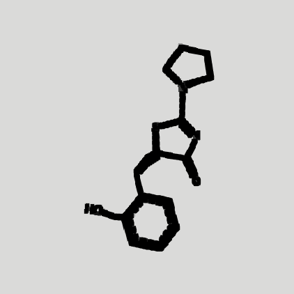 O=C1N=C(N2CCCC2)SC1=Cc1ccccc1O